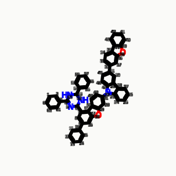 c1ccc(C2=NC(c3cc(-c4ccccc4)cc4oc5cc(-n6c7ccccc7c7cc(-c8ccc9c(c8)oc8ccccc89)ccc76)ccc5c34)NC(c3ccccc3)N2)cc1